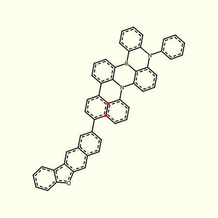 c1ccc(N2c3ccccc3B3c4cccc(-c5ccc(-c6ccc7cc8oc9ccccc9c8cc7c6)cc5)c4N(c4ccccc4)c4cccc2c43)cc1